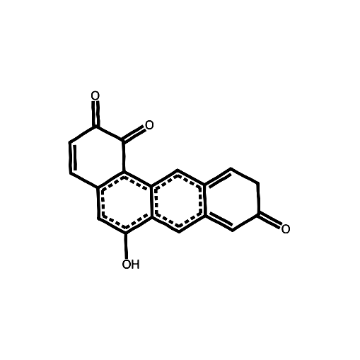 O=C1C=c2cc3c(O)cc4c(c3cc2=CC1)C(=O)C(=O)C=C4